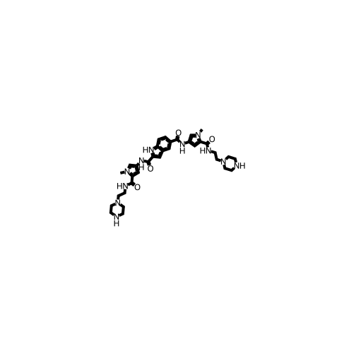 Cn1cc(NC(=O)c2ccc3[nH]c(C(=O)Nc4cc(C(=O)NCCN5CCNCC5)n(C)c4)cc3c2)cc1C(=O)NCCN1CCNCC1